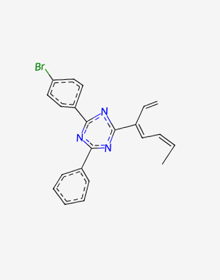 C=C/C(=C\C=C/C)c1nc(-c2ccccc2)nc(-c2ccc(Br)cc2)n1